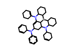 C1=CCC(N(c2ccccc2)C2C=C3C4B(C5CCCCC5N3C3=CCCCC3)C3CCCCC3N(C3CC=CCC3)C4C2)C=C1